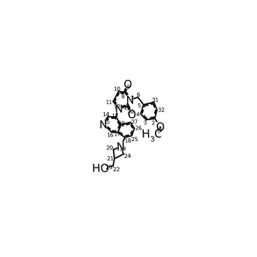 COc1ccc(Cn2c(=O)ccn(-c3cncc4c(N5CC(CO)C5)cccc34)c2=O)cc1